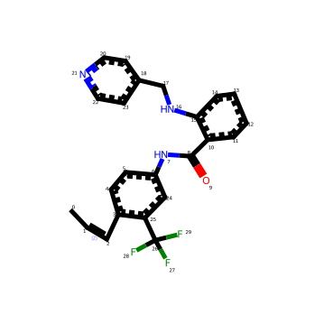 C/C=C\c1ccc(NC(=O)c2ccccc2NCc2ccncc2)cc1C(F)(F)F